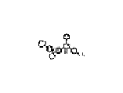 CC1C=CC(C2N=C(c3ccccc3)C=C(c3ccc(C4(C5(C)C=CC(C6CCC=CC=N6)=CC5)CCCCC4)cc3)N2)=CC1